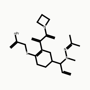 C=CC(C1CCC(SCC(=C)CCC)=C(C(=C)C(=C)N2CCC2)C1)N(C)N=C(C)C